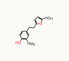 CCCCCCCCc1ccc(CCc2ccc(O)c(OC)c2)o1